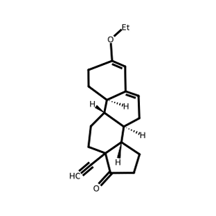 C#CC12CC[C@H]3[C@@H](CC=C4C=C(OCC)CC[C@@H]43)[C@@H]1CCC2=O